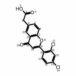 O=C(O)Cc1ccc2oc(-c3ccc(Cl)cc3Cl)cc(=O)c2c1